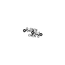 [C-]#[N+]/C(C#N)=c1/cc(OCCCC(=O)c2ccccc2S(=O)(=O)O)/c(=C(\C#N)[N+]#[C-])cc1OCCOC(=O)c1ccccc1